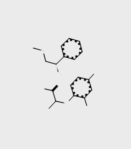 CC(Oc1ccc(Cl)cc1Cl)C(=O)O.CN[C@@H](C)[C@H](O)c1ccccc1